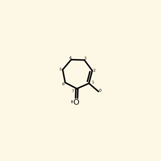 CC1=CCCCCC1=O